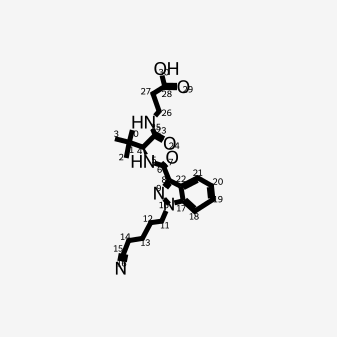 CC(C)(C)[C@H](NC(=O)c1nn(CCCCC#N)c2ccccc12)C(=O)NCCC(=O)O